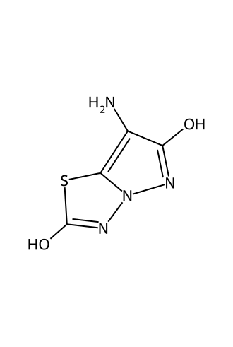 Nc1c(O)nn2nc(O)sc12